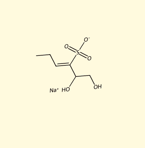 CCC=C(C(O)CO)S(=O)(=O)[O-].[Na+]